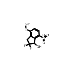 CCCOc1ccc([SH](=O)=O)c2c1CC(F)(F)C2O